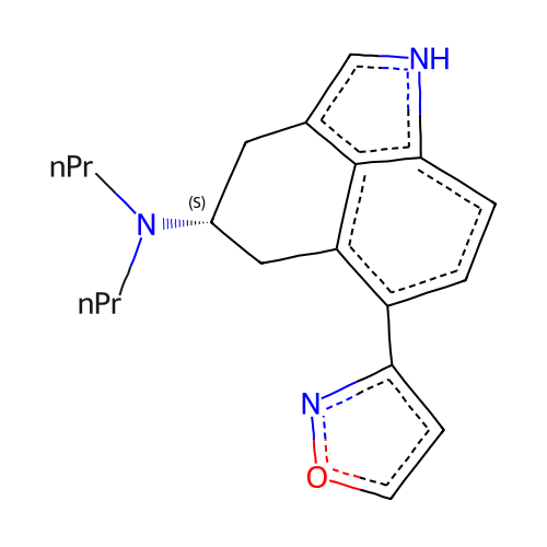 CCCN(CCC)[C@@H]1Cc2c[nH]c3ccc(-c4ccon4)c(c23)C1